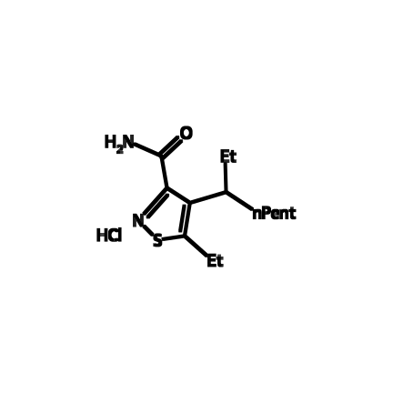 CCCCCC(CC)c1c(C(N)=O)nsc1CC.Cl